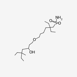 CCC(C)(CC)CC(O)CCOCCCCC(CC)(CC)CS(N)(=O)=O